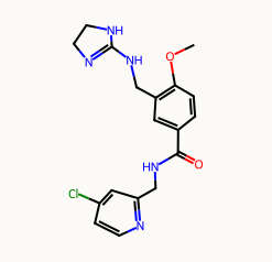 COc1ccc(C(=O)NCc2cc(Cl)ccn2)cc1CNC1=NCCN1